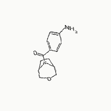 Nc1ccc(C(=O)N2C3CCC2COC3)cc1